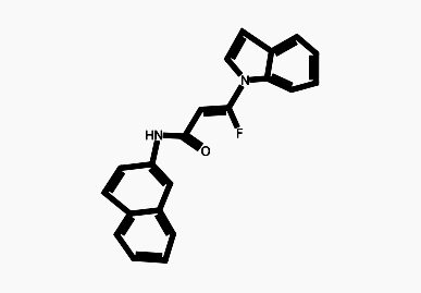 O=C(/C=C(\F)n1ccc2ccccc21)Nc1ccc2ccccc2c1